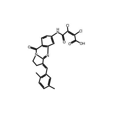 Cc1ccc(C)c(C=C2CCn3c2nc2cc(NC(=O)/C(Cl)=C(/Cl)C(=O)O)ccc2c3=O)c1